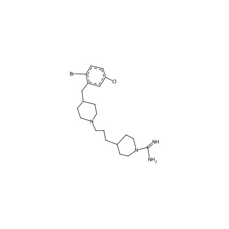 N=C(N)N1CCC(CCCN2CCC(Cc3cc(Cl)ccc3Br)CC2)CC1